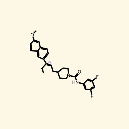 CC/C(=C\CC1CCN(C(=O)Nc2cc(F)cc(F)c2)CC1)c1ccc2cc(OC)ccc2c1